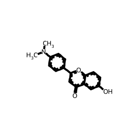 CN(C)c1ccc(-c2cc(=O)c3cc(O)ccc3o2)cc1